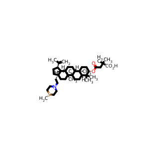 C=C(C)[C@@H]1CC[C@]2(CCN3CCS(=C)CC3)CC[C@]3(C)[C@H](CC[C@@H]4[C@@]5(C)CC[C@H](OC(=O)CC(C)(C)C(=O)O)C(C)(C)[C@@H]5CC[C@]43C)[C@@H]12